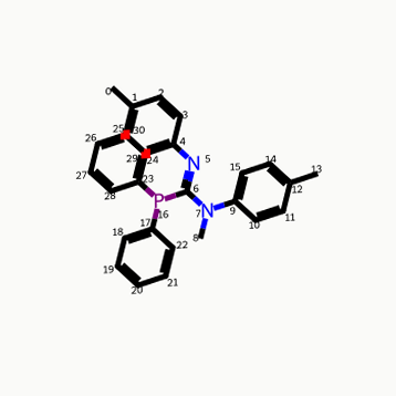 Cc1ccc(/N=C(/N(C)c2ccc(C)cc2)P(c2ccccc2)c2ccccc2)cc1